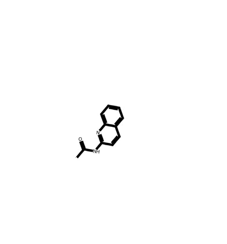 [CH2]C(=O)Nc1ccc2ccccc2n1